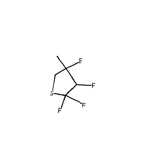 CC1(F)CSC(F)(F)C1F